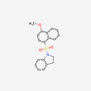 COc1ccc(S(=O)(=O)N2C[C]c3ccccc32)c2ccccc12